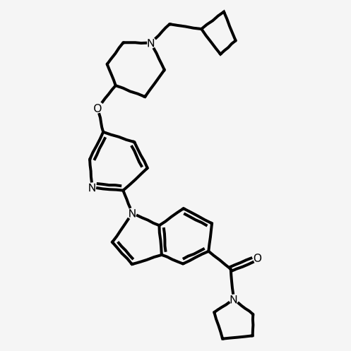 O=C(c1ccc2c(ccn2-c2ccc(OC3CCN(CC4CCC4)CC3)cn2)c1)N1CCCC1